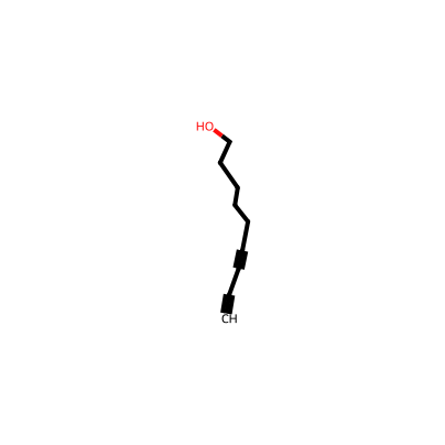 C#CC#CCCCCCO